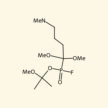 CNCCCC(OC)(OC)P(=O)(F)OC(C)(C)OC